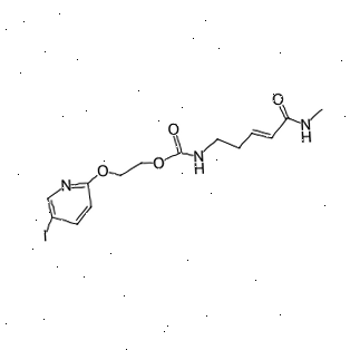 CNC(=O)C=CCCNC(=O)OCCOc1ccc(I)cn1